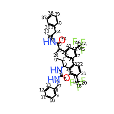 CCC(NC(=O)NCc1ccccc1)c1cc(C(F)(F)F)ccc1-c1cc(C(C)C(=O)N[C@H](C)Cc2ccccc2)cc(C(F)(F)F)c1